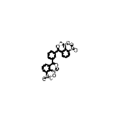 O=C(c1cccc(C(=O)c2cccc([N+](=O)[O-])c2[N+](=O)[O-])c1)c1cccc([N+](=O)[O-])c1[N+](=O)[O-]